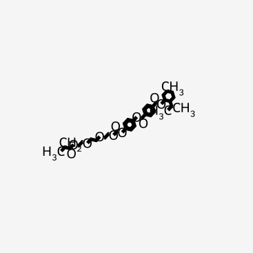 C=C(C)C(=O)OCCOCCOCCOC(=O)Oc1ccc(OC(=O)c2ccc(C(=O)OC3CC(C)CCC3C(C)C)cc2)cc1